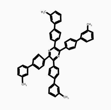 Cc1cccc(-c2ccc(-c3nc(-c4ccc(-c5cccc(C)c5)cc4)c(-c4ccc(-c5cccc(C)c5)cc4)nc3-c3ccc(-c4cccc(C)c4)cc3)cc2)c1